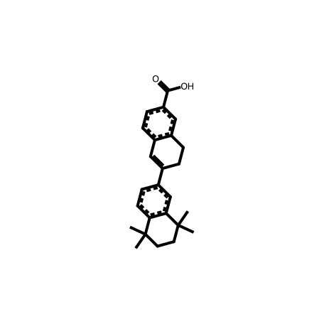 CC1(C)CCC(C)(C)c2cc(C3=Cc4ccc(C(=O)O)cc4CC3)ccc21